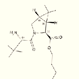 CCCCOC(=O)[C@@H]1[C@@H]2[C@H](CN1C(=O)[C@@H](N)C(C)(C)C)C2(C)C